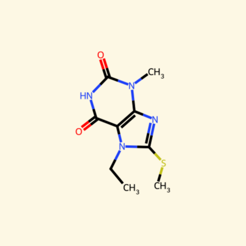 CCn1c(SC)nc2c1c(=O)[nH]c(=O)n2C